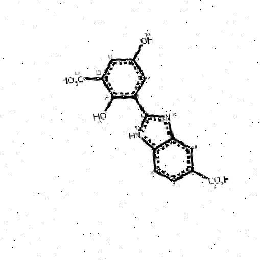 O=C(O)c1ccc2[nH]c(-c3cc(O)cc(C(=O)O)c3O)nc2c1